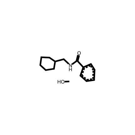 CO.O=C(NCC1CCCCC1)c1ccccc1